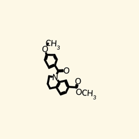 COC(=O)c1ccc2c(c1)N(C(=O)c1ccc(OC)cc1)CCC2